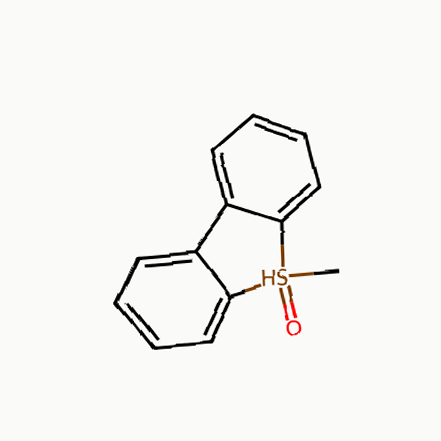 C[SH]1(=O)c2ccccc2-c2ccccc21